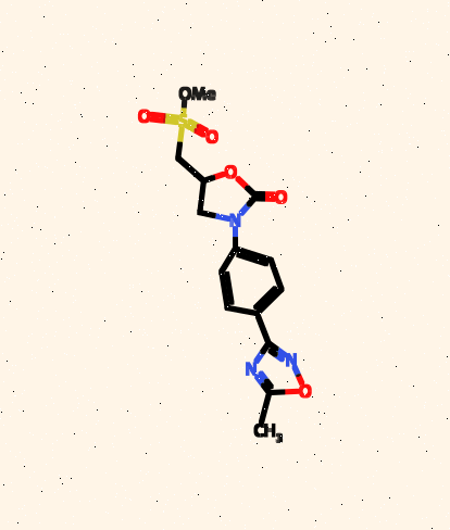 COS(=O)(=O)CC1CN(c2ccc(-c3noc(C)n3)cc2)C(=O)O1